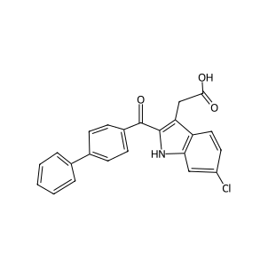 O=C(O)Cc1c(C(=O)c2ccc(-c3ccccc3)cc2)[nH]c2cc(Cl)ccc12